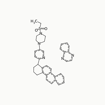 CCS(=O)(=O)N1CCN(c2ccc(C3CCCc4c3ccc3c4ccc4ccccc43)nc2)CC1.c1ccc2nccnc2c1